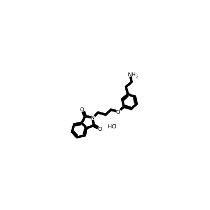 Cl.NCCc1cccc(OCCCN2C(=O)c3ccccc3C2=O)c1